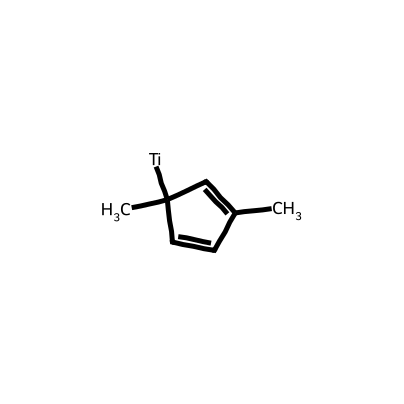 CC1=C[C](C)([Ti])C=C1